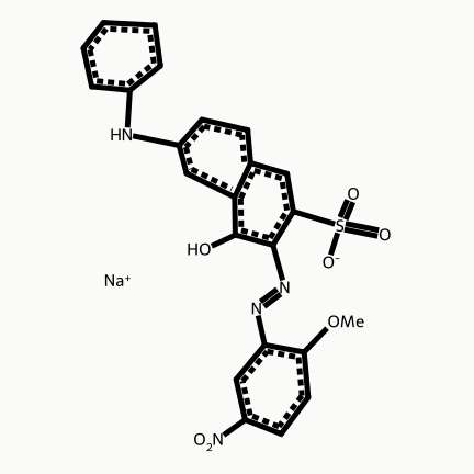 COc1ccc([N+](=O)[O-])cc1N=Nc1c(S(=O)(=O)[O-])cc2ccc(Nc3ccccc3)cc2c1O.[Na+]